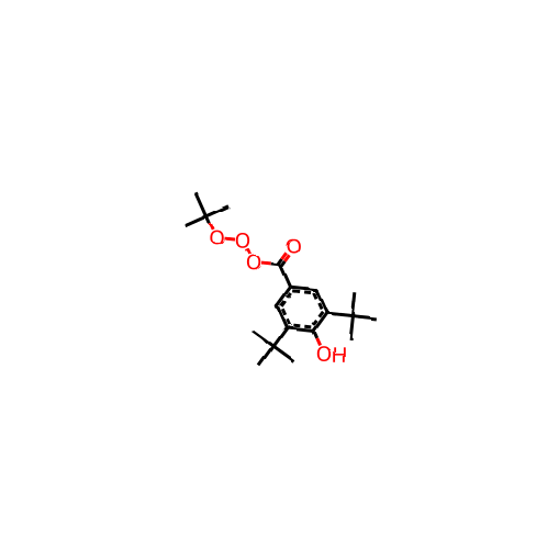 CC(C)(C)OOOC(=O)c1cc(C(C)(C)C)c(O)c(C(C)(C)C)c1